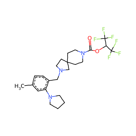 Cc1ccc(CN2CCC3(CCN(C(=O)OC(C(F)(F)F)C(F)(F)F)CC3)C2)c(N2CCCC2)c1